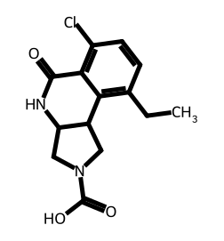 CCc1ccc(Cl)c2c1C1CN(C(=O)O)CC1NC2=O